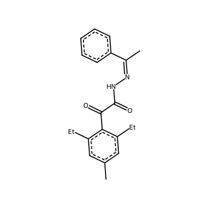 CCc1cc(C)cc(CC)c1C(=O)C(=O)NN=C(C)c1ccccc1